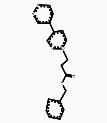 O=C(CC[n+]1ccc(-c2ccnnc2)cn1)OCc1ccccc1